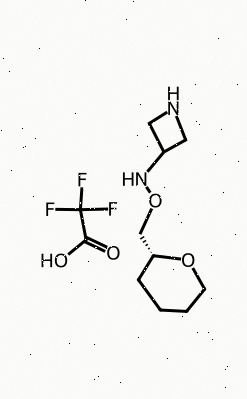 C1CC[C@H](CONC2CNC2)OC1.O=C(O)C(F)(F)F